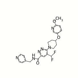 COc1ccc(OC2CCN(c3nnc(C(=O)NCc4ccncc4)cc3C(F)F)CC2)cn1